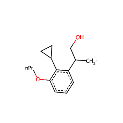 [CH2]C(CO)c1cccc(OCCC)c1C1CC1